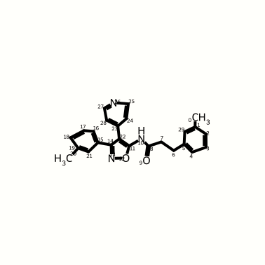 Cc1cccc(CCC(=O)Nc2onc(-c3cccc(C)c3)c2-c2ccncc2)c1